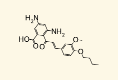 CCCCOc1ccc(C=CC(=O)c2c(N)cc(N)cc2C(=O)O)cc1OC